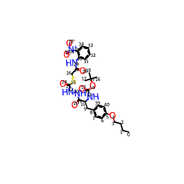 CCCCOc1ccc(C[C@H](NC(=O)OC(C)(C)C)C(=O)NNC(=O)SCC(=O)Nc2ccccc2[N+](=O)[O-])cc1